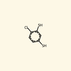 Sc1ccc(Cl)c(S)c1